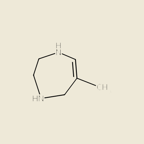 CC1=CNCCNC1